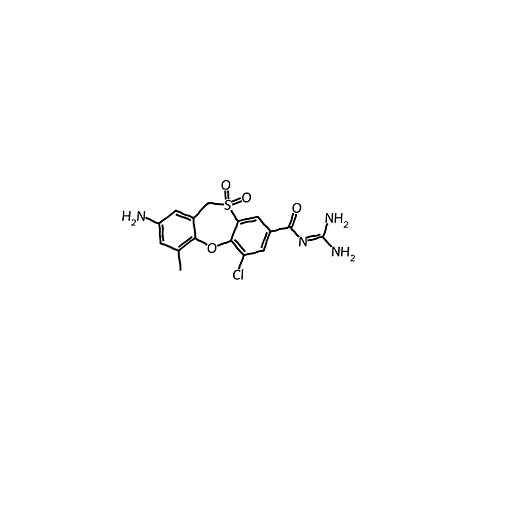 Cc1cc(N)cc2c1Oc1c(Cl)cc(C(=O)N=C(N)N)cc1S(=O)(=O)C2